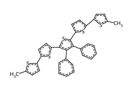 Cc1ccc(-c2ccc(-c3sc(-c4ccc(-c5ccc(C)s5)s4)c(-c4ccccc4)c3-c3ccccc3)s2)s1